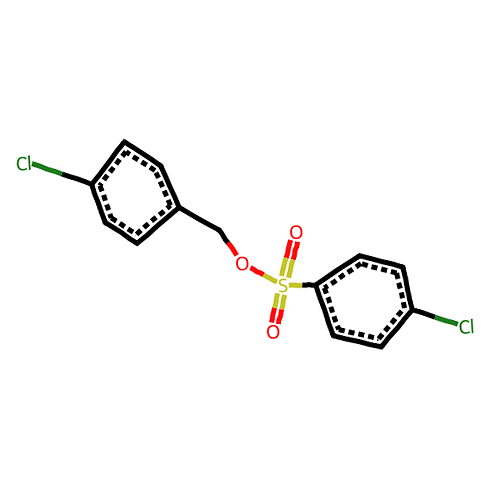 O=S(=O)(OCc1ccc(Cl)cc1)c1ccc(Cl)cc1